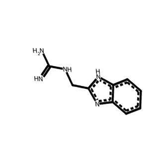 N=C(N)NCc1nc2ccccc2[nH]1